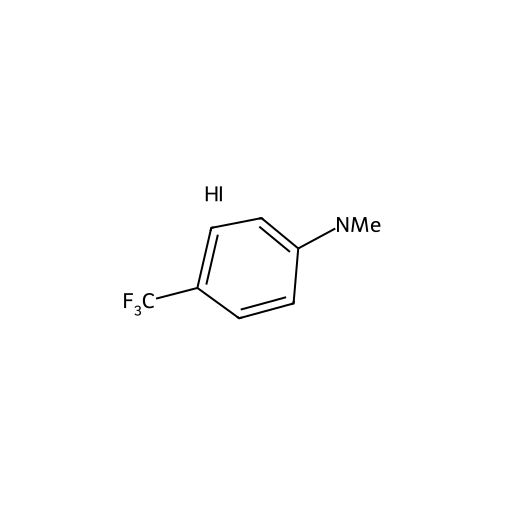 CNc1ccc(C(F)(F)F)cc1.I